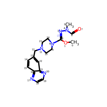 CO/C(=N\N(C)C=O)N1CCN(Cc2ccc3nccnc3c2)CC1